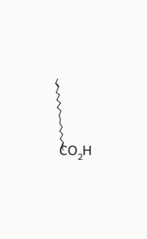 CC=CCCCCCCCCCCCCCC=CC(=O)O